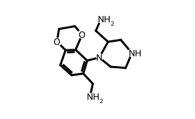 NCc1ccc2c(c1N1CCNCC1CN)OCCO2